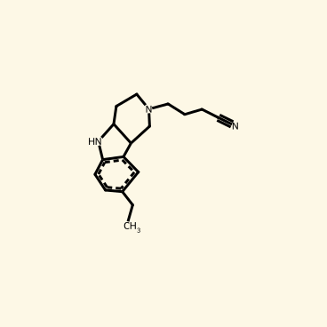 CCc1ccc2c(c1)C1CN(CCCC#N)CCC1N2